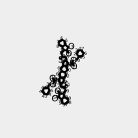 O=C1C(=O)c2ccccc2/C1=C/c1cc2c(s1)c1c(n2C(=O)OCc2ccccc2)=CC2C=c3c(n(C(=O)OCc4ccccc4)c4cc(/C=C5\C(=O)C(=O)c6ccccc65)sc34)=CC2C=1